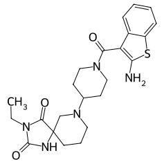 CCN1C(=O)NC2(CCCN(C3CCN(C(=O)c4c(N)sc5ccccc45)CC3)C2)C1=O